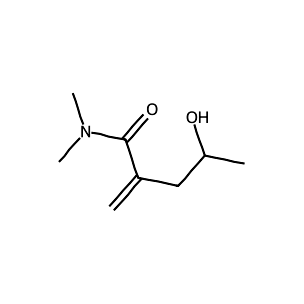 C=C(CC(C)O)C(=O)N(C)C